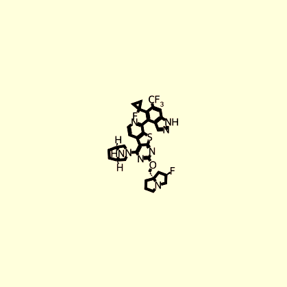 F[C@H]1CN2CCC[C@@]2(COc2nc(N3C[C@H]4CC[C@@H](C3)N4)c3c(n2)sc2c(-c4c(C5(F)CC5)c(C(F)(F)F)cc5[nH]ncc45)nccc23)C1